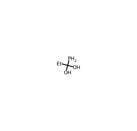 CCC(O)(O)P